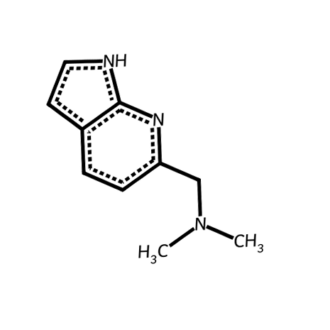 CN(C)Cc1ccc2cc[nH]c2n1